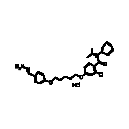 CC(C)N(C(=O)c1ccc(OCCCCCOc2ccc(C=NN)cc2)cc1Cl)c1ccccc1.Cl